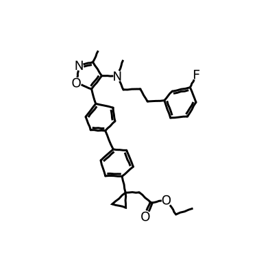 CCOC(=O)CC1(c2ccc(-c3ccc(-c4onc(C)c4N(C)CCCc4cccc(F)c4)cc3)cc2)CC1